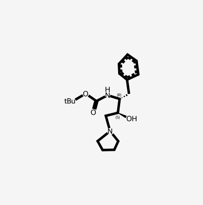 CC(C)(C)OC(=O)N[C@H](Cc1ccccc1)[C@@H](O)CN1CCCC1